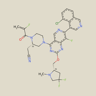 C=C(F)C(=O)N1CCN(c2nc(OC[C@@H]3CC(F)(F)CN3C)nc3c(F)c(-c4cncc5cccc(Cl)c45)ncc23)C[C@@H]1CC#N